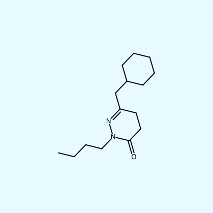 CCCCN1N=C(CC2CCCCC2)CCC1=O